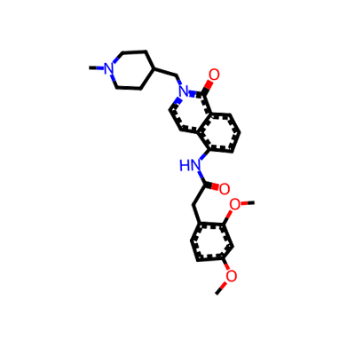 COc1ccc(CC(=O)Nc2cccc3c(=O)n(CC4CCN(C)CC4)ccc23)c(OC)c1